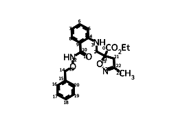 CCOC(=O)C1(CNc2ccccc2C(=O)NOCc2ccccc2)CC(C)=NO1